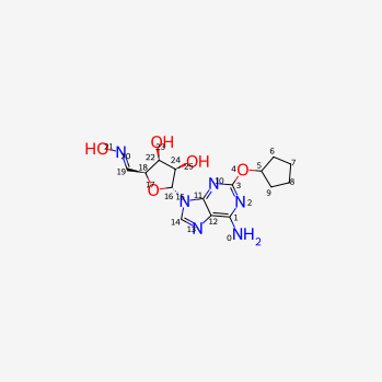 Nc1nc(OC2CCCC2)nc2c1ncn2[C@@H]1O[C@@H](C=NO)[C@@H](O)[C@H]1O